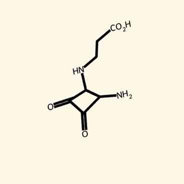 NC1C(=O)C(=O)C1NCCC(=O)O